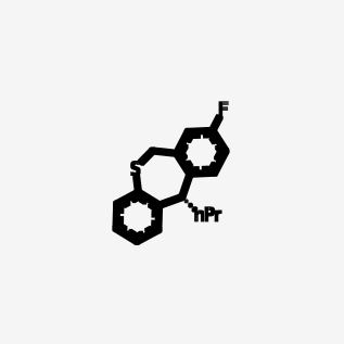 CCC[C@H]1c2ccc(F)cc2CSc2ccccc21